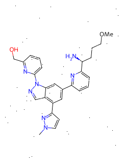 COCCC[C@H](N)c1cccc(-c2cc(-c3ccn(C)n3)c3cnn(-c4cccc(CO)n4)c3c2)n1